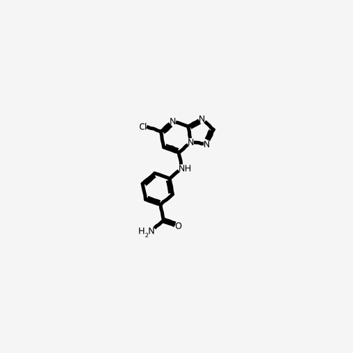 NC(=O)c1cccc(Nc2cc(Cl)nc3ncnn23)c1